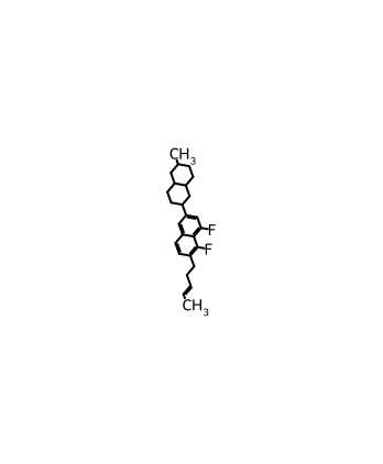 C/C=C/CCc1ccc2cc(C3CCC4CC(C)CCC4C3)cc(F)c2c1F